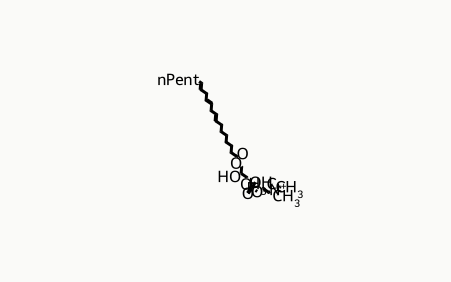 CCCCC/C=C/C/C=C/C/C=C/CCCCCCC(=O)OCC(O)COP(=O)(O)OCC[N+](C)(C)C